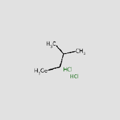 CC(C)[CH2][GeH3].Cl.Cl